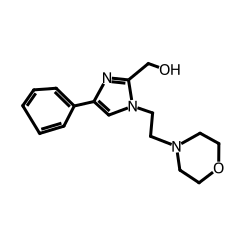 OCc1nc(-c2ccccc2)cn1CCN1CCOCC1